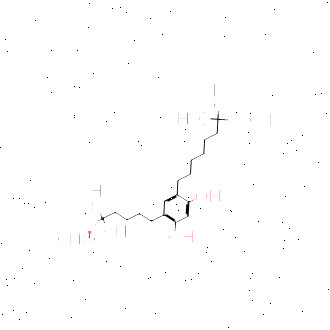 CC(C)(CCCCc1cc(CCCCCCC(C)(C)C(=O)O)c(O)cc1O)OC=O